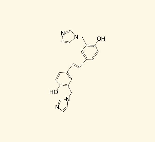 Oc1ccc(C=Cc2ccc(O)c(Cn3ccnc3)c2)cc1Cn1ccnc1